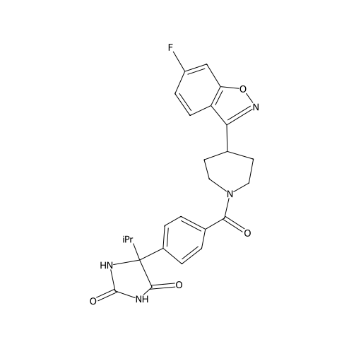 CC(C)C1(c2ccc(C(=O)N3CCC(c4noc5cc(F)ccc45)CC3)cc2)NC(=O)NC1=O